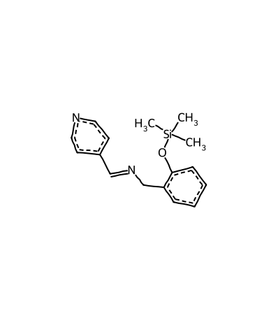 C[Si](C)(C)Oc1ccccc1CN=Cc1ccncc1